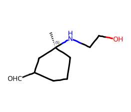 C[C@]1(NCCO)CCCC(C=O)C1